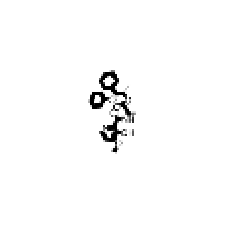 COc1ccnc(C(=O)N[C@@H](C)C(=O)O[C@@H](C)[C@H](Oc2ccccc2)C2CCCCC2)c1O